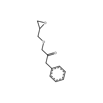 O=C(COCC1CO1)Cc1ccccc1